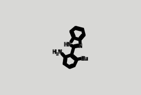 CCC(C)c1cccc(N)c1-c1nc2ccccc2[nH]1